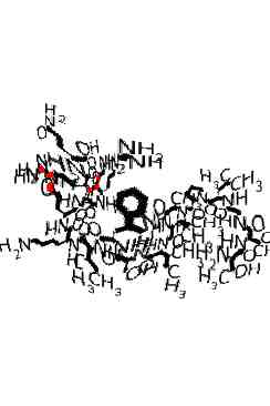 CC[C@H](C)[C@H](NC(=O)[C@H](CC(C)C)NC(=O)[C@H](C)NC(=O)[C@@H]1CCCN1C(=O)[C@H](CC(C)C)NC(=O)CNC(=O)[C@@H](NC(=O)[C@@H](N)[C@@H](C)O)[C@@H](C)O)C(=O)N[C@@H](CO)C(=O)N[C@@H](Cc1c[nH]c2ccccc12)C(=O)N[C@H](C(=O)N[C@@H](CCCCN)C(=O)N[C@@H](CCCNC(=N)N)C(=O)N[C@@H](CCCCN)C(=O)N[C@@H](CCCNC(=N)N)C(=O)N[C@@H](CCC(N)=O)C(=O)N[C@@H](CCC(N)=O)C(=O)O)[C@@H](C)CC